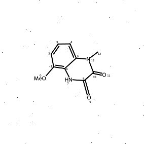 COc1cccc2c1[nH]c(=O)c(=O)n2C